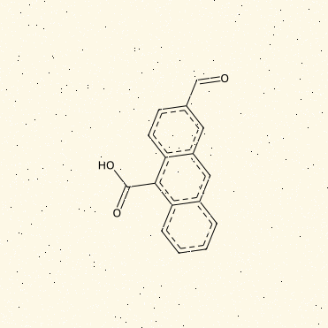 O=Cc1ccc2c(C(=O)O)c3ccccc3cc2c1